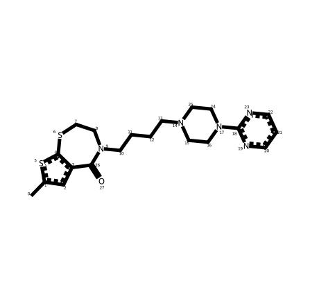 Cc1cc2c(s1)SCCN(CCCCN1CCN(c3ncccn3)CC1)C2=O